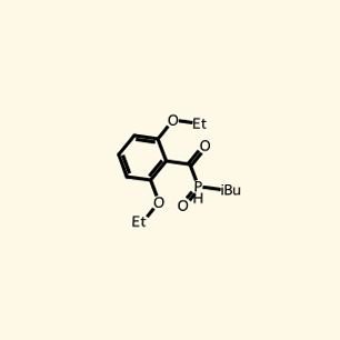 CCOc1cccc(OCC)c1C(=O)[PH](=O)C(C)CC